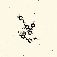 CCOC(=O)C(Cc1cc(CC(=O)O)ccc1OCc1ccnc(OCCC(F)(F)F)n1)Oc1ncnc2sc(-c3ccc(F)cc3)c(-c3ccc(CNCCN4CCC(F)(F)CC4)c(Cl)c3C)c12